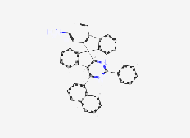 C=CC1=C(/C=C/N)C2(c3ccccc31)c1ccccc1-c1c(-c3cccc4ccccc34)nc(-c3ccccc3)nc12